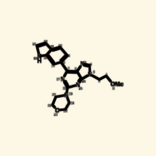 COCCn1cnc2c(-c3ccc4cc[nH]c4c3)nc(N3CCOCC3)nc21